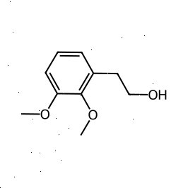 COc1cccc(CCO)c1OC